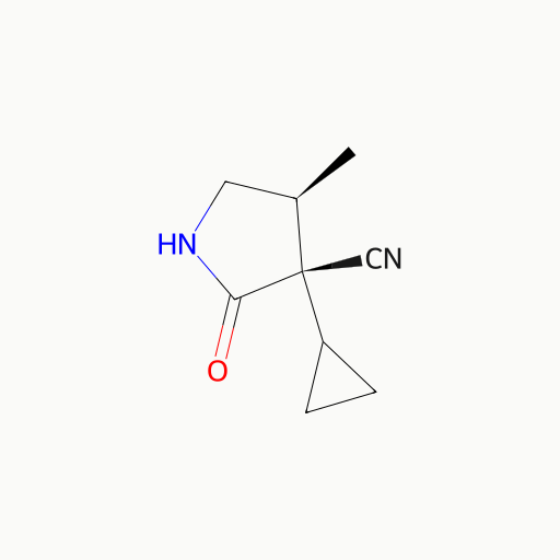 C[C@@H]1CNC(=O)[C@@]1(C#N)C1CC1